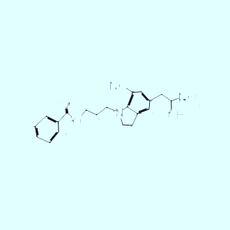 CC(Cc1cc(C#N)c2c(c1)CCN2CCCOC(=O)c1ccccc1)[N+](=O)[O-]